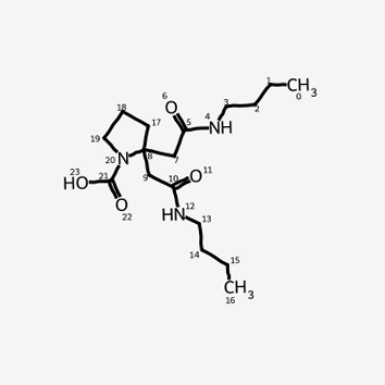 CCCCNC(=O)CC1(CC(=O)NCCCC)CCCN1C(=O)O